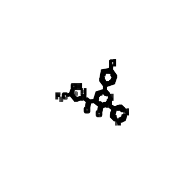 O=C(NC[C@H](O)C(F)(F)F)c1cc(-c2ccc(Cl)cc2)nn(-c2cncnc2)c1=O